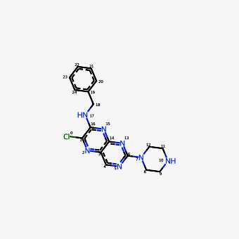 Clc1nc2cnc(N3CCNCC3)nc2nc1NCc1ccccc1